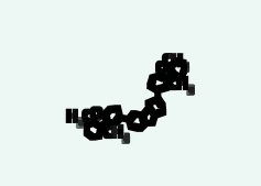 CC12CCCCC1(C)c1cc(-c3ccc4c(c3)-c3cc(-c5ccc6c(c5)C5(C)CCCCC5(C)O6)ccc3C4)ccc1O2